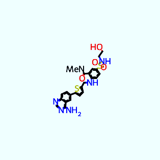 CNC(=O)c1cc(S(=O)(=O)NCCO)ccc1NCc1ccc(-c2ccc3ncnc(N)c3c2)s1